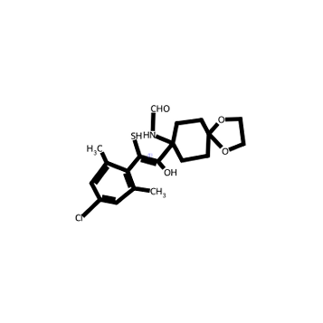 Cc1cc(Cl)cc(C)c1/C(S)=C(\O)C1(NC=O)CCC2(CC1)OCCO2